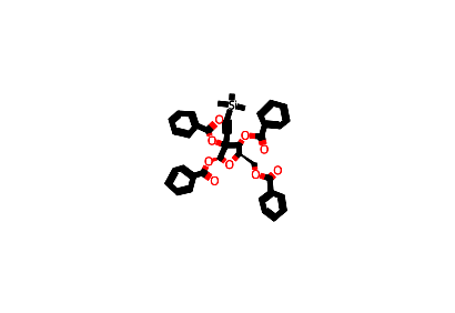 C[Si](C)(C)C#CC1(OC(=O)c2ccccc2)C(OC(=O)c2ccccc2)[C@@H](COC(=O)c2ccccc2)O[C@H]1OC(=O)c1ccccc1